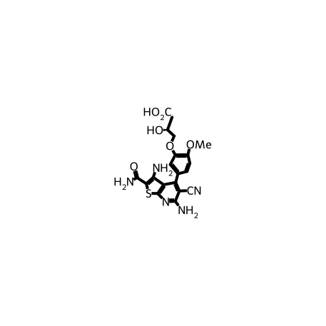 COc1ccc(-c2c(C#N)c(N)nc3sc(C(N)=O)c(N)c23)cc1OC[C@@H](O)CC(=O)O